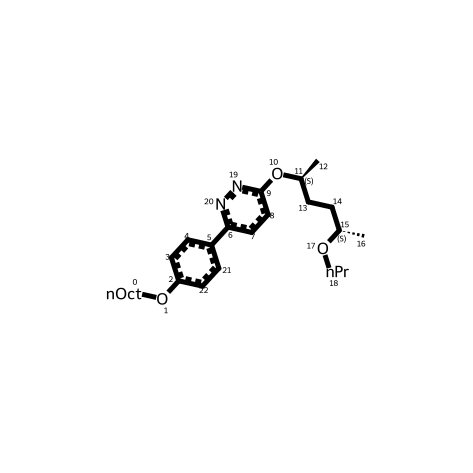 CCCCCCCCOc1ccc(-c2ccc(O[C@@H](C)CC[C@H](C)OCCC)nn2)cc1